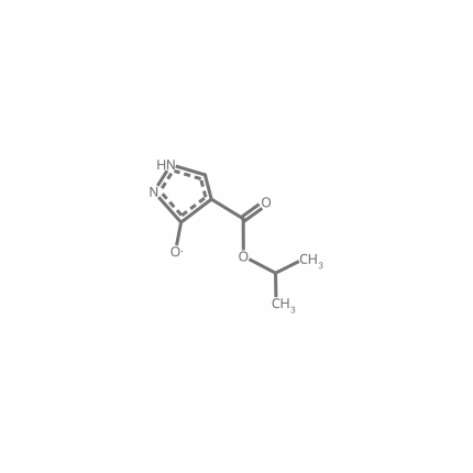 CC(C)OC(=O)c1c[nH]nc1[O]